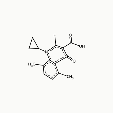 Cc1ccc(C)c2c1c(=O)c(C(=O)O)c(F)n2C1CC1